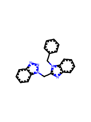 c1ccc(Cn2c(Cn3nnc4ccccc43)nc3ccccc32)cc1